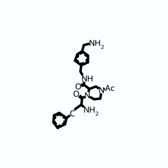 CC(=O)N1CCN(C(=O)C(N)CCc2ccccc2)C(C(=O)NCc2ccc(CN)cc2)C1